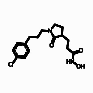 O=C(CCC1CCN(CCCc2ccc(Cl)cc2)C1=O)NO